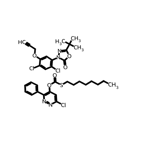 C#CCOc1cc(-n2nc(C(C)(C)C)oc2=O)c(Cl)cc1Cl.CCCCCCCCSC(=O)Oc1cc(Cl)nnc1-c1ccccc1